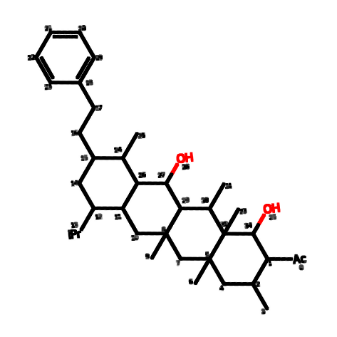 CC(=O)C1C(C)CC2(C)CC3(C)CC4C(C(C)C)CC(CCc5ccccc5)C(C)C4C(O)C3C(C)C2(C)C1O